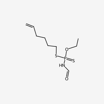 C=CCCCCSP(=S)(NC=O)OCC